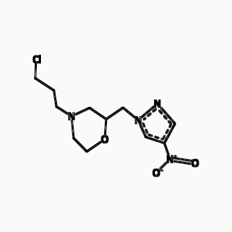 O=[N+]([O-])c1cnn(CC2CN(CCCCl)CCO2)c1